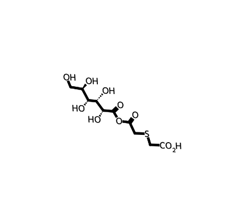 O=C(O)CSCC(=O)OC(=O)[C@H](O)[C@@H](O)[C@H](O)[C@H](O)CO